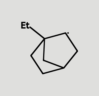 CCC12[CH]CC(CC1)C2